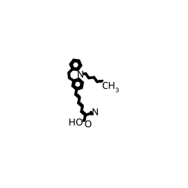 CCCCCCN1c2ccccc2CCc2cc(/C=C/C=C/C=C(\C#N)C(=O)O)ccc21